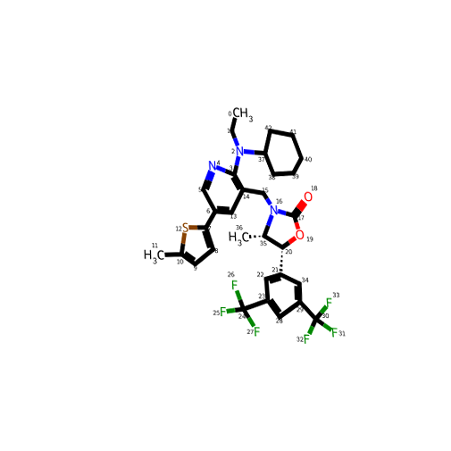 CCN(c1ncc(-c2ccc(C)s2)cc1CN1C(=O)O[C@H](c2cc(C(F)(F)F)cc(C(F)(F)F)c2)[C@@H]1C)C1CCCCC1